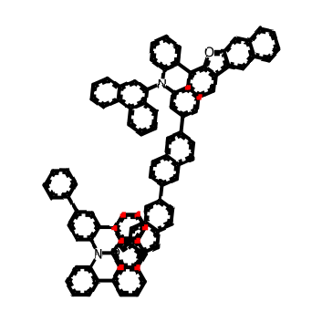 c1ccc(-c2ccc(N(c3ccccc3-c3cccc4c3oc3cc5cc(-c6ccc7cc(-c8cccc(N(c9ccccc9-c9cccc%10c9oc9cc%11ccccc%11cc9%10)c9cc%10ccccc%10c%10ccccc9%10)c8)ccc7c6)ccc5cc34)c3cccc4ccccc34)c(-c3ccccc3)c2)cc1